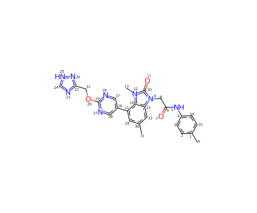 Cc1ccc(NC(=O)Cn2c(=O)n(C)c3c(-c4cnc(OCc5nc[nH]n5)nc4)cc(C)cc32)cc1